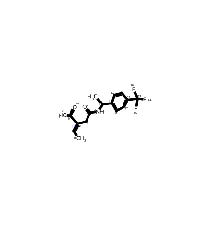 C/C=C(\CC(=O)NC(C)c1ccc(C(F)(F)F)cc1)C(=O)O